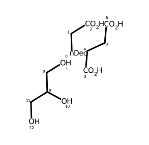 CCCCCCCCCCCC(=O)O.O=C(O)CCC(=O)O.OCC(O)CO